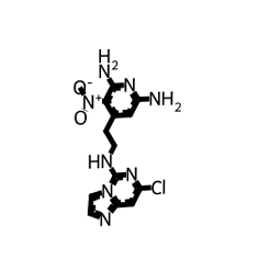 Nc1cc(CCNc2nc(Cl)cc3nccn23)c([N+](=O)[O-])c(N)n1